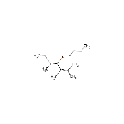 CCCCSC(C(C)CC)C(C)C(C)C